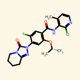 Cc1ccnc(Cl)c1NC(=O)c1cc(F)c(-n2nc3n(c2=O)CCCC3)cc1O[C@@H](C)C(F)(F)F